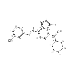 Cn1ccc2c(NCc3cccc(Cl)c3)ncc(C(=O)N3CCOCC3)c21